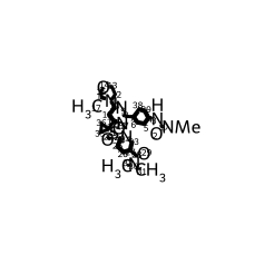 CNC(=O)Nc1ccc(-c2nc(N3CCOC[C@@H]3C)cc(C3(S(=O)(=O)c4ccc(C(=O)N(C)C)cn4)CC3)n2)cc1